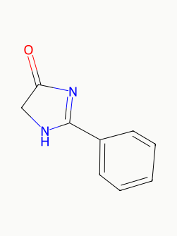 O=C1CNC(c2ccccc2)=N1